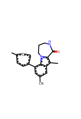 Cc1ccc(-c2cc(C#N)cc3c(C)c4n(c23)CCCNC4=O)cc1